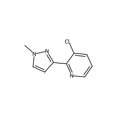 Cn1c[c]c(-c2ncccc2Cl)n1